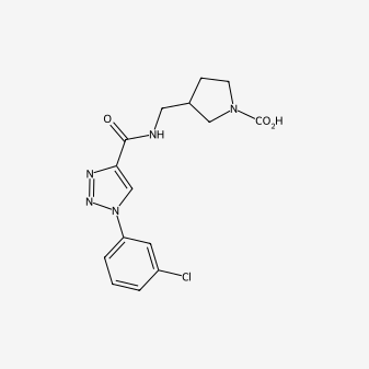 O=C(NCC1CCN(C(=O)O)C1)c1cn(-c2cccc(Cl)c2)nn1